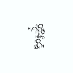 Cc1nc2c(-n3ncc(C(=O)Nc4cnc(-n5nccn5)c(C#N)c4)c3C(F)(F)F)cccc2s1